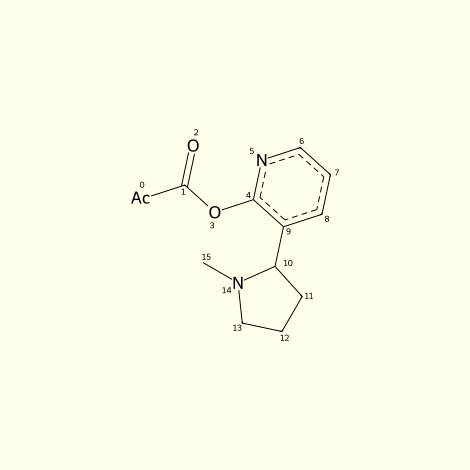 CC(=O)C(=O)Oc1ncccc1C1CCCN1C